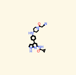 N#CCC(=O)N1CCC(Nc2ccc(-c3cc(NC(=O)C4CC4)nc4[nH]ccc34)cc2)CC1